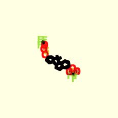 CC1(C)c2cc(OSOOC(F)(F)F)ccc2-c2ccc3cc(OS(=O)(=O)C(F)(F)F)ccc3c21